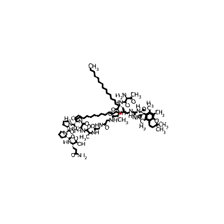 CCCCCCCCCCCCCCC(CNC(=N)NS(=O)(=O)c1c(C)c(C)c2c(c1C)CCC(C)(C)O2)C[C@](CCCCCCCCCCCCCC)(NC(=O)[C@@H](N)C(C)=O)C(=O)N[C@@H](C)C(=O)NCC(=O)NCC(=O)N[C@@H](C)C(=O)N[C@@H](C)C(=O)N1CCC[C@H]1C(=O)N1CCC[C@H]1C(=O)N1CCC[C@H]1C(=O)N[C@@H](CCC(N)=O)C(=O)O